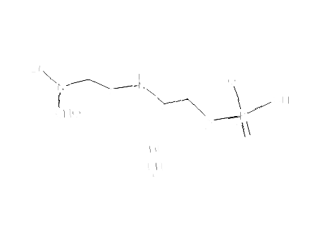 CCN(C=O)CCNCCSP(=O)(O)O.[LiH].[LiH]